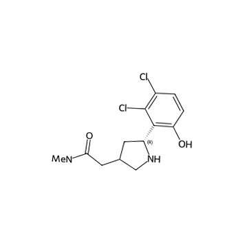 CNC(=O)CC1CN[C@@H](c2c(O)ccc(Cl)c2Cl)C1